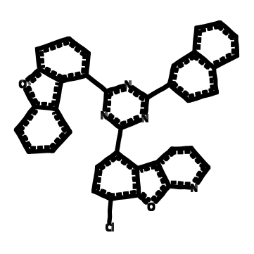 Clc1ccc(-c2nc(-c3ccc4ccccc4c3)nc(-c3cccc4oc5ccccc5c34)n2)c2c1oc1ncccc12